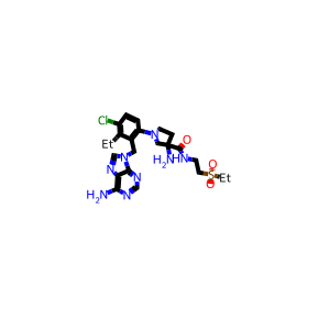 CCc1c(Cl)ccc(N2CCC(N)(C(=O)NCCS(=O)(=O)CC)C2)c1Cn1cnc2c(N)ncnc21